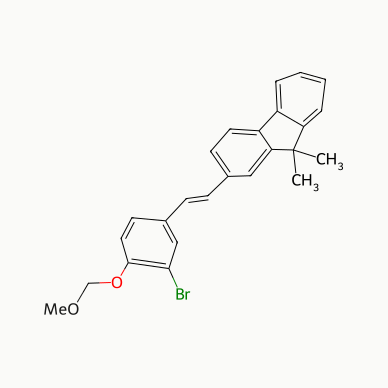 COCOc1ccc(/C=C/c2ccc3c(c2)C(C)(C)c2ccccc2-3)cc1Br